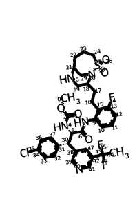 COC(=O)N[C@H](C(=O)Nc1cccc(F)c1CCC1CNC2CCCS(=O)(=O)N1C2)[C@@H](c1ccc(Cl)cc1)c1cncc(C(C)(F)F)c1